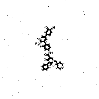 CC1(Cn2cc(C(=O)Nc3ccc(C4=CC(c5ccc(O)c(O)c5)=CNC4N)c(F)c3)c(=O)c(-c3ccc(F)cc3)c2)CCOCC1